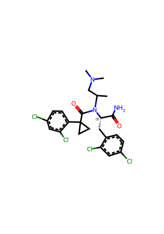 CC(CN(C)C)N(C(=O)C1(c2ccc(Cl)cc2Cl)CC1)[C@@H](Cc1ccc(Cl)cc1Cl)C(N)=O